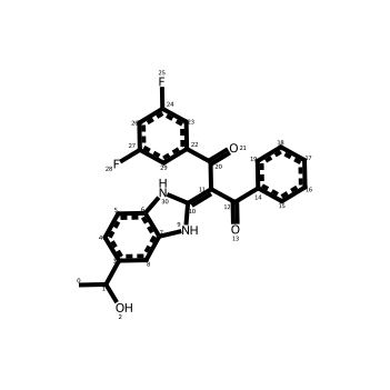 CC(O)c1ccc2c(c1)NC(=C(C(=O)c1ccccc1)C(=O)c1cc(F)cc(F)c1)N2